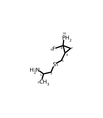 CC(N)CSCC1CC1(F)P